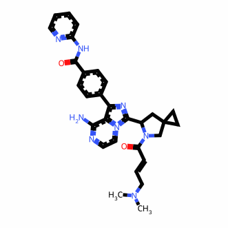 CN(C)CC=CC(=O)N1CC2(CC2)CC1c1nc(-c2ccc(C(=O)Nc3ccccn3)cc2)c2c(N)nccn12